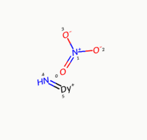 O=[N+]([O-])[O-].[NH]=[Dy+]